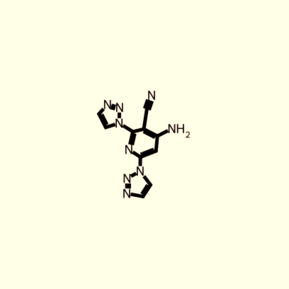 N#Cc1c(N)cc(-n2ccnn2)nc1-n1ccnn1